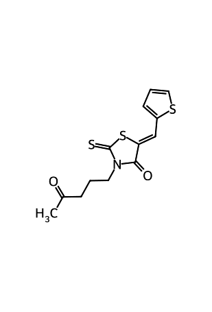 CC(=O)CCCN1C(=O)/C(=C/c2cccs2)SC1=S